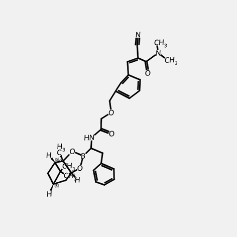 CN(C)C(=O)C(C#N)=Cc1cccc(COCC(=O)NC(Cc2ccccc2)B2O[C@@H]3C[C@@H]4C[C@@H](C4(C)C)[C@]3(C)O2)c1